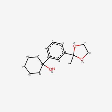 CC1(c2cccc(C3(O)CCCCC3)c2)OCCO1